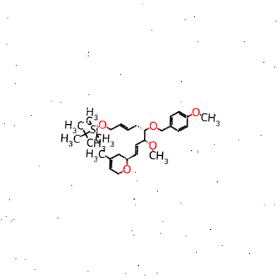 COc1ccc(CO[C@@H](C/C=C/CO[Si](C)(C)C(C)(C)C)C(/C=C/[C@@H]2CC(C)=CCO2)OC)cc1